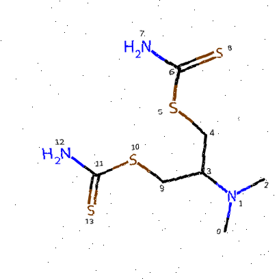 CN(C)C(CSC(N)=S)CSC(N)=S